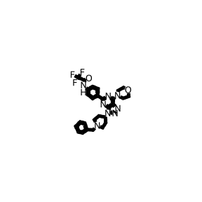 O=C(Nc1ccc(-c2nc(N3CCOCC3)c3nnn(C4CCN(Cc5ccccc5)CC4)c3n2)cc1)C(F)(F)F